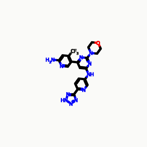 Nc1cc(C(F)(F)F)c(-c2cc(Nc3ccc(-c4nn[nH]n4)nc3)nc(N3CCOCC3)n2)cn1